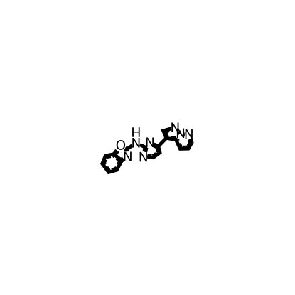 c1ccc2oc(Nc3nccc(-c4cnn5ncccc45)n3)nc2c1